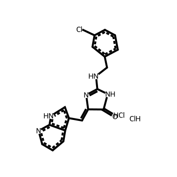 Cl.Cl.O=C1NC(NCc2cccc(Cl)c2)=NC1=Cc1c[nH]c2ncccc12